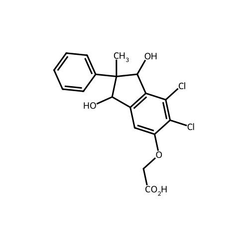 CC1(c2ccccc2)C(O)c2cc(OCC(=O)O)c(Cl)c(Cl)c2C1O